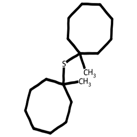 CC1(SC2(C)CCCCCCC2)CCCCCCC1